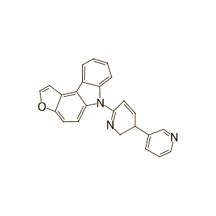 C1=CC(c2cccnc2)CN=C1n1c2ccccc2c2c3ccoc3ccc21